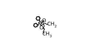 C=CCC1(CC=CCC)C(=O)N(c2ccccc2)N(c2ccccc2)C1=O